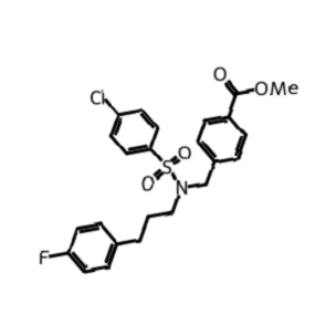 COC(=O)c1ccc(CN(CCCc2ccc(F)cc2)S(=O)(=O)c2ccc(Cl)cc2)cc1